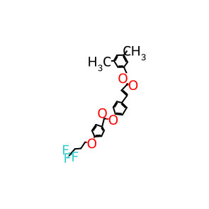 Cc1cc(C)cc(COC(=O)/C=C/c2ccc(OC(=O)c3ccc(OCCCC(F)(F)F)cc3)cc2)c1